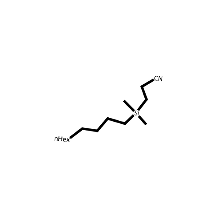 CCCCCCCCCC[Si](C)(C)CCC#N